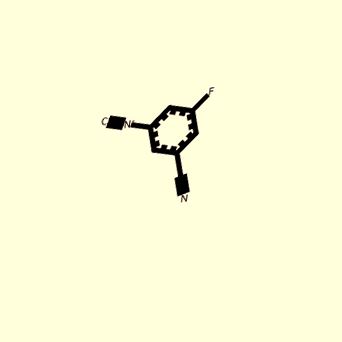 [C-]#[N+]c1cc(F)cc(C#N)c1